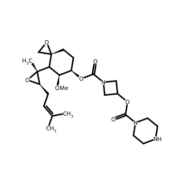 CO[C@H]1C([C@@]2(C)O[C@@H]2CC=C(C)C)[C@]2(CC[C@H]1OC(=O)N1CC(OC(=O)N3CCNCC3)C1)CO2